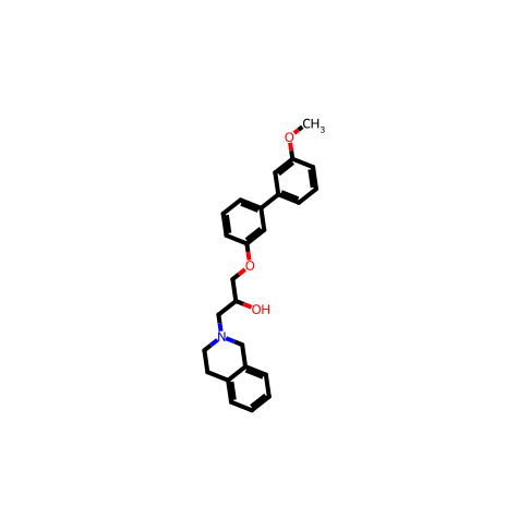 COc1cccc(-c2cccc(OCC(O)CN3CCc4ccccc4C3)c2)c1